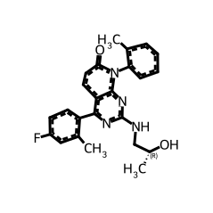 Cc1cc(F)ccc1-c1nc(NC[C@@H](C)O)nc2c1ccc(=O)n2-c1ccccc1C